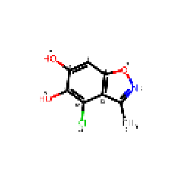 Cc1noc2cc(O)c(O)c(Cl)c12